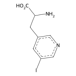 NC(Cc1cncc(I)c1)C(=O)O